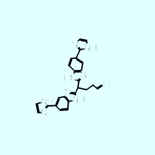 C=CCCC(c1nc2cc(-c3ncc[nH]3)ccc2[nH]1)c1nc2cc(-c3ncc[nH]3)ccc2[nH]1